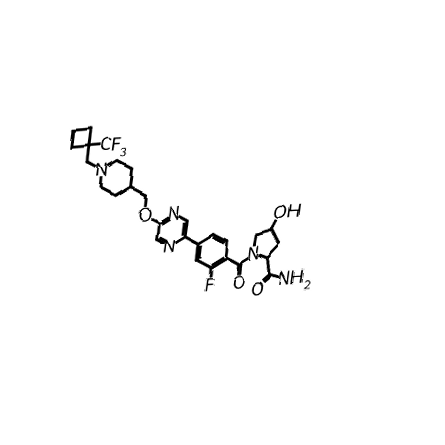 NC(=O)C1CC(O)CN1C(=O)c1ccc(-c2cnc(OCC3CCN(CC4(C(F)(F)F)CCC4)CC3)cn2)cc1F